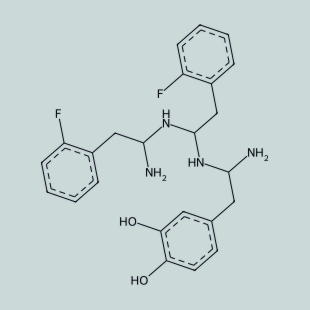 NC(Cc1ccc(O)c(O)c1)NC(Cc1ccccc1F)NC(N)Cc1ccccc1F